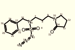 [N-]=[N+]=NS(=O)(=O)N(CCCN1CCCC1=O)Cc1ccccc1